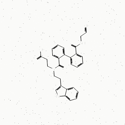 C=CCNC(=O)c1ccccc1-c1ccccc1C(=O)N(CCC(=O)O)CCc1c[nH]c2ccccc12